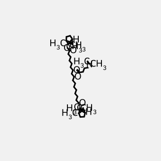 CN(C)CCCC(=O)OC(CCCCCCCC(=O)O[C@@H]1C[C@@H]2CC[C@@]1(C)C2(C)C)CCCCCCCC(=O)O[C@@H]1C[C@@H]2CC[C@@]1(C)C2(C)C